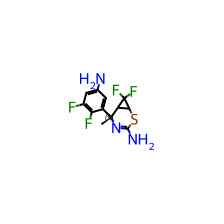 C[C@]1(c2cc(N)cc(F)c2F)N=C(N)SC2C1C2(F)F